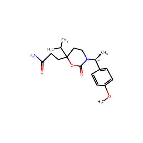 COc1ccc([C@H](C)N2CCC(CCC(N)=O)(C(C)C)OC2=O)cc1